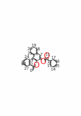 C=C(Oc1cc2c(cc1OC(=O)c1ccccc1)=CCCC=2)c1ccccc1